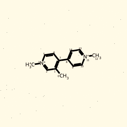 Cc1c[n+](C)ccc1-c1cc[n+](C)cc1